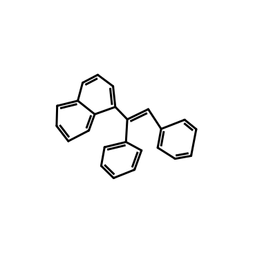 C(=C(c1ccccc1)c1cccc2ccccc12)c1ccccc1